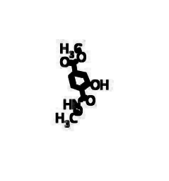 CONC(=O)c1ccc(C(=O)OC)cc1O